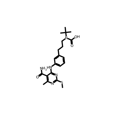 CSc1nc(C)c(C(N)=O)c(Nc2cccc(CCCN(C(=O)O)C(C)(C)C)c2)n1